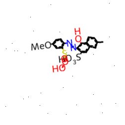 COc1ccc(N=Nc2c(S(=O)(=O)O)cc3cc(C)ccc3c2O)c(SOOO)c1